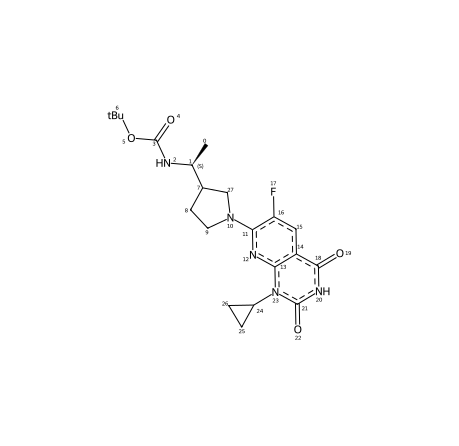 C[C@H](NC(=O)OC(C)(C)C)C1CCN(c2nc3c(cc2F)c(=O)[nH]c(=O)n3C2CC2)C1